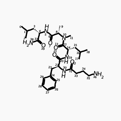 CC(C)C[C@H](NC(=O)[C@H](C)N(C)C(=O)[C@H](CC(C)C)NC(=O)[C@H](Cc1ccccc1)NC(=O)CCCN)C(N)=O